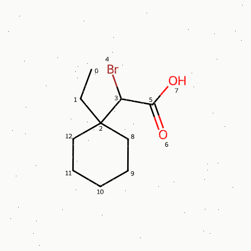 CCC1(C(Br)C(=O)O)CCCCC1